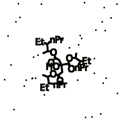 CCCC(CC)C(C)OC(=O)CC(O)(CC(=O)OC(C)C(CC)CCC)C(=O)OC(C)C(CC)CCC